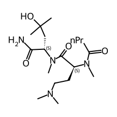 CCCC(=O)N(C)[C@@H](CCN(C)C)C(=O)N(C)[C@@H](CC(C)(C)O)C(N)=O